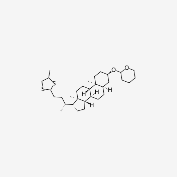 CC1CSC(CC[C@@H](C)[C@H]2CC[C@H]3[C@@H]4CC[C@@H]5C[C@H](OC6CCCCO6)CC[C@]5(C)[C@H]4CC[C@]23C)S1